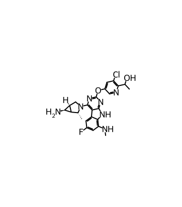 CNc1cc(F)cc2c1[nH]c1nc(Oc3cnc(C(C)O)c(Cl)c3)nc(N3C[C@H]4C([C@H]4N)[C@H]3C)c12